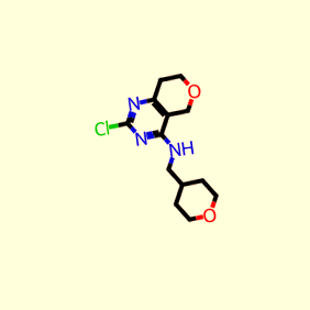 Clc1nc2c(c(NCC3CCOCC3)n1)COCC2